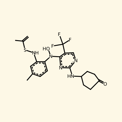 C=C(C)SNc1cc(C)ccc1N(O)c1nc(NC2CCC(=O)CC2)ncc1C(F)(F)F